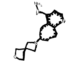 NOc1ccnc2ccc(N3CC4(COC4)C3)cc12